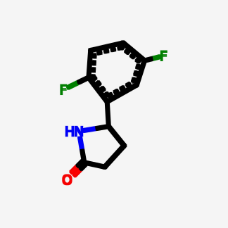 O=C1CCC(c2cc(F)ccc2F)N1